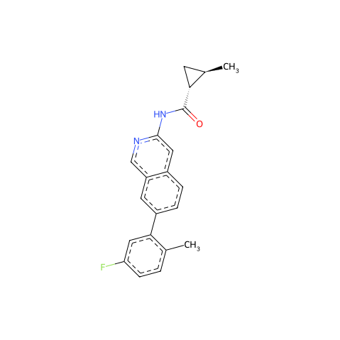 Cc1ccc(F)cc1-c1ccc2cc(NC(=O)[C@@H]3C[C@H]3C)ncc2c1